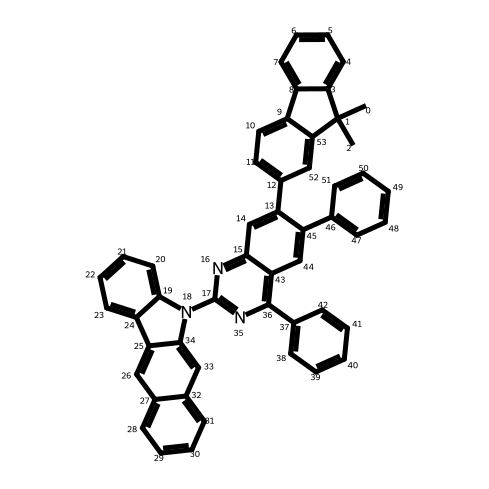 CC1(C)c2ccccc2-c2ccc(-c3cc4nc(-n5c6ccccc6c6cc7ccccc7cc65)nc(-c5ccccc5)c4cc3-c3ccccc3)cc21